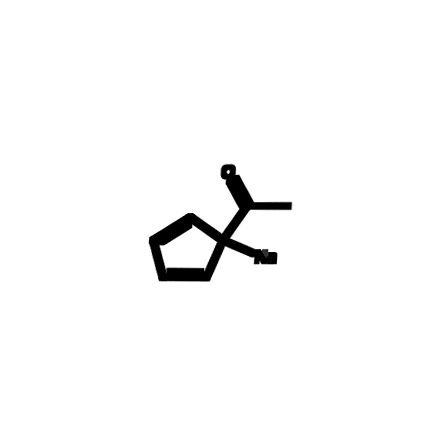 CC(=O)[C]1([Na])C=CC=C1